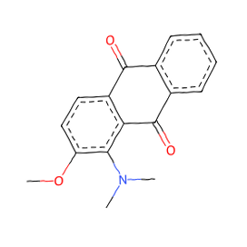 COc1ccc2c(c1N(C)C)C(=O)c1ccccc1C2=O